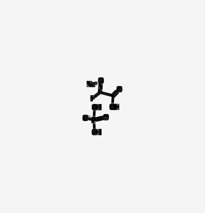 O=C(O)C(=O)F.O=P([O-])(O)O.[Na+]